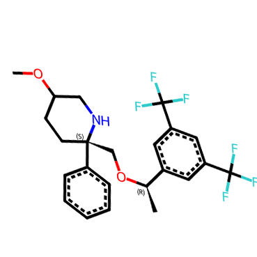 COC1CC[C@@](CO[C@H](C)c2cc(C(F)(F)F)cc(C(F)(F)F)c2)(c2ccccc2)NC1